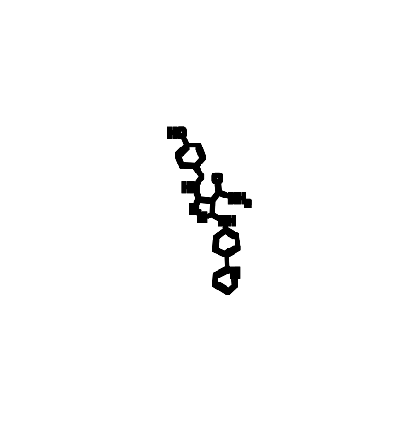 NC(=O)C1=C(NCc2ccc(O)cc2)N=NC1Nc1ccc(-c2ccccn2)cc1